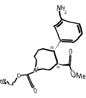 COC(=O)[C@H]1CN(C(=O)OC(C)(C)C)CC[C@@H]1c1cccc(N)c1